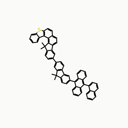 CC1(C)c2ccc(-c3c4ccccc4c(-c4cccc5ccccc45)c4ccccc34)cc2-c2ccc(-c3ccc4c(c3)-c3ccc5ccc6sc7ccccc7c6c5c3C4(C)C)cc21